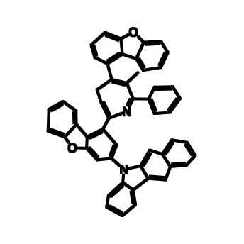 CC1=C(c2cccc3oc4ccccc4c23)CC=C(c2cc(-n3c4ccccc4c4cc5ccccc5cc43)cc3oc4ccccc4c23)N=C1c1ccccc1